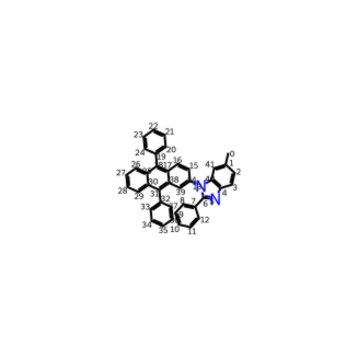 Cc1ccc2nc(-c3ccccc3)n(-c3ccc4c(-c5ccccc5)c5ccccc5c(-c5ccccc5)c4c3)c2c1